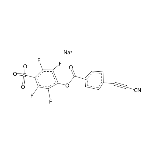 N#CC#Cc1ccc(C(=O)Oc2c(F)c(F)c(S(=O)(=O)[O-])c(F)c2F)cc1.[Na+]